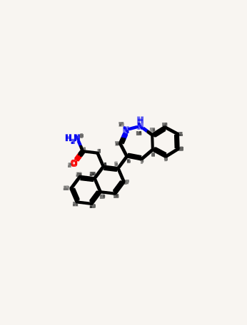 NC(=O)Cc1c(C2=Cc3ccccc3NN=C2)ccc2ccccc12